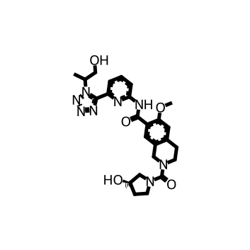 COc1cc2c(cc1C(=O)Nc1cccc(-c3nnnn3C(C)CO)n1)CN(C(=O)N1CC[C@@H](O)C1)CC2